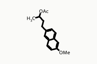 COc1ccc2cc(CCC(C)OC(C)=O)ccc2c1